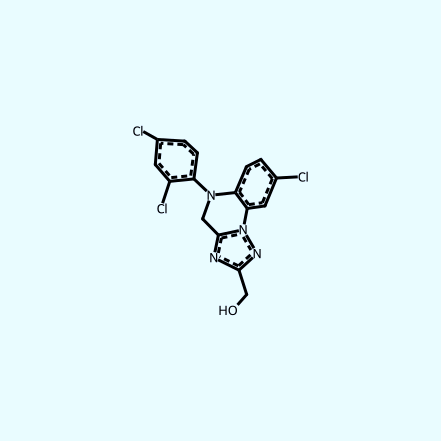 OCc1nc2n(n1)-c1cc(Cl)ccc1N(c1ccc(Cl)cc1Cl)C2